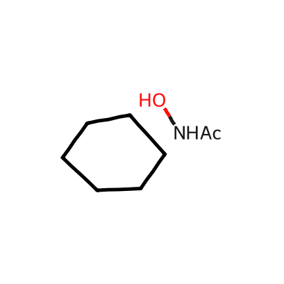 C1CCCCC1.CC(=O)NO